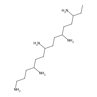 CCC(N)CCC(N)CCC(N)CCC(N)CCCN